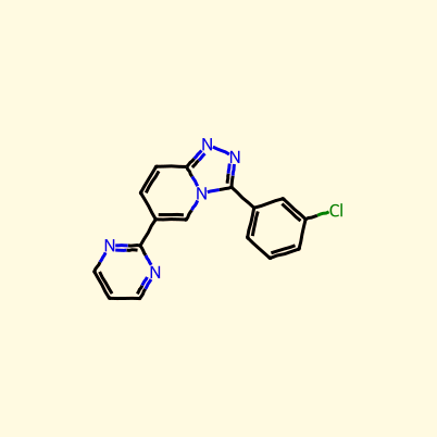 Clc1cccc(-c2nnc3ccc(-c4ncccn4)cn23)c1